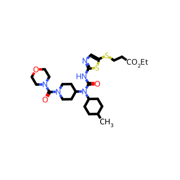 CCOC(=O)CCSc1cnc(NC(=O)N(C2CCC(C)CC2)C2CCN(C(=O)N3CCOCC3)CC2)s1